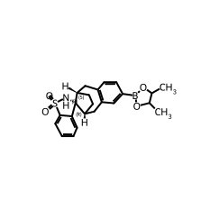 CC1OB(c2ccc3c(c2)C[C@H]2CC[C@@H](C3)[C@@]23NS(=O)(=O)c2ccccc23)OC1C